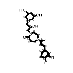 CC1CC(O)CN(CC(O)CN2CCN(C(=O)C=Cc3ccc(Cl)c(Cl)c3)CCC2=O)C1